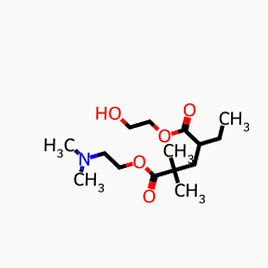 CCC(CC(C)(C)C(=O)OCCN(C)C)C(=O)OCCO